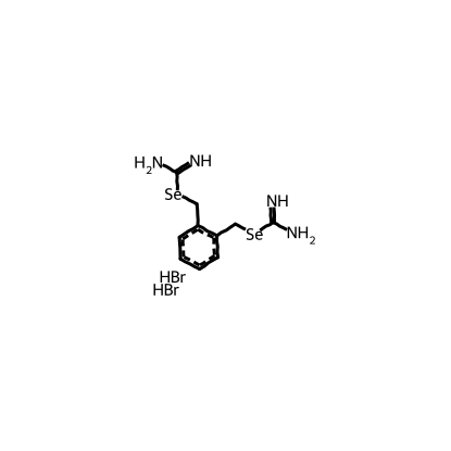 Br.Br.N=C(N)[Se]Cc1ccccc1C[Se]C(=N)N